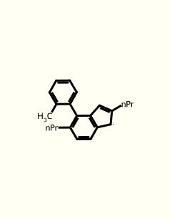 CCCC1=Cc2c(ccc(CCC)c2-c2ccccc2C)[CH]1